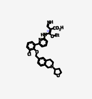 CCO/C(Nc1cccc(-c2cccc(Cl)c2OCc2ccc3c(c2)CCN(C2CCOC2)C3)n1)=C(/C=N)C(=O)O